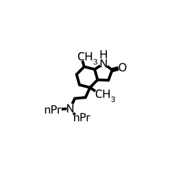 CCCN(CCC)CCC1(C)CCC(C)C2NC(=O)CC21